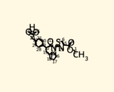 CCOC(=O)c1csc(NC(=O)C(CC2CCCC2)c2ccc(C[SH](=O)=O)cc2)n1